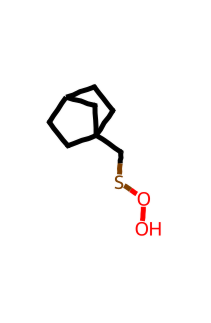 OOSCC12CCC(CC1)C2